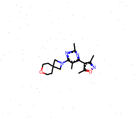 Cc1nc(-c2c(C)noc2C)c(C)c(N2CC3(CCOCC3)C2)n1